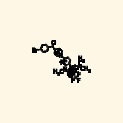 CN1C(=O)[N+](CC(C)(C)C)(OC(=O)C(F)(F)F)C2=CC=C(N3CC4CCC3CN4C(=O)c3ccc(Br)cc3)[N+]=C21